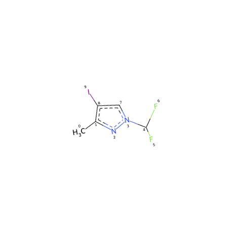 Cc1nn(C(F)F)cc1I